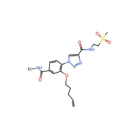 C=CCCCOc1cc(C(=O)NCC)ccc1-n1cc(C(=O)NCCS(C)(=O)=O)nn1